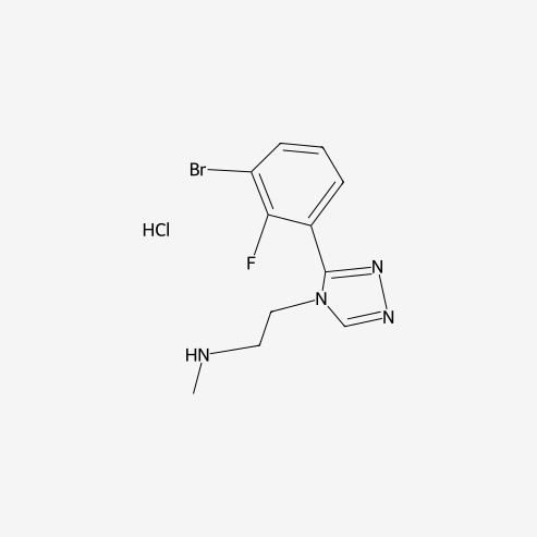 CNCCn1cnnc1-c1cccc(Br)c1F.Cl